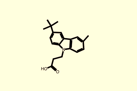 Cc1ccc2c(c1)c1cc(C(C)(C)C)ccc1n2CCC(=O)O